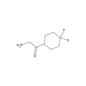 O=C(CP)C1CCC(F)(F)CC1